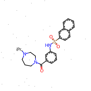 CC(C)N1CCCN(C(=O)c2cccc(NS(=O)(=O)c3ccc4ccccc4c3)c2)CC1